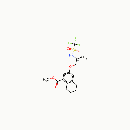 COC(=O)c1cc(OC[C@H](C)NS(=O)(=O)C(F)(F)F)cc2c1CCCC2